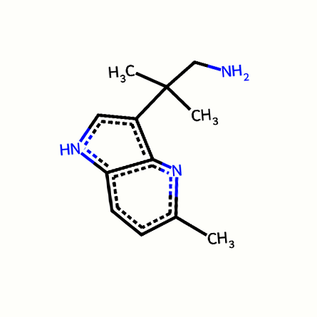 Cc1ccc2[nH]cc(C(C)(C)CN)c2n1